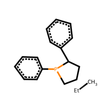 CCC.c1ccc(C2CCCP2c2ccccc2)cc1